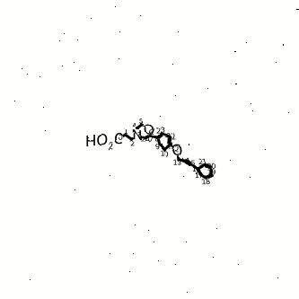 O=C(O)CCN1CCOC(c2ccc(OCC#Cc3ccccc3)cc2)C1